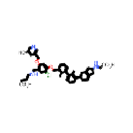 Cc1c(COc2cc(OCc3cncc(C#N)c3)c(CNCCCC(=O)O)cc2Cl)cccc1-c1cccc(-c2ccc3c(c2)CC(NCC(=O)O)C3)c1C